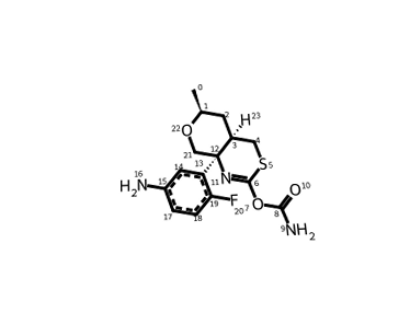 C[C@H]1C[C@H]2CSC(OC(N)=O)=N[C@@]2(c2cc(N)ccc2F)CO1